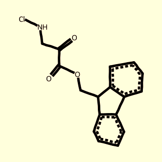 O=C(CNCl)C(=O)OCC1c2ccccc2-c2ccccc21